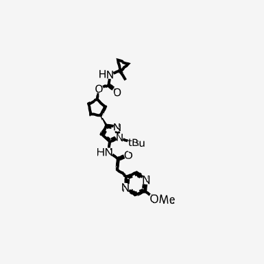 COc1cnc(CC(=O)Nc2cc([C@H]3CCC(OC(=O)NC4(C)CC4)C3)nn2C(C)(C)C)cn1